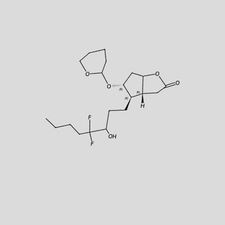 CCCCC(F)(F)C(O)CC[C@H]1[C@H](OC2CCCCO2)CC2OC(=O)C[C@@H]21